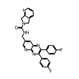 O=C(NCc1cnc2nc(-c3ccc(F)cc3)c(-c3ccc(F)cc3)nc2c1)N1Cc2cccnc2C1